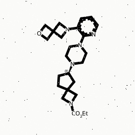 CCOC(=O)N1CC2(CC[C@@H](N3CCN(c4ncccc4N4CC5(COC5)C4)CC3)C2)C1